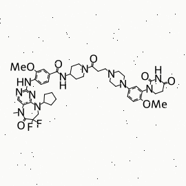 COc1cc(C(=O)NC2CCN(C(=O)CCN3CCN(c4ccc(OC)c(N5CCC(=O)NC5=O)c4)CC3)CC2)ccc1Nc1ncc2c(n1)N(C1CCCC1)CC(F)(F)C(=O)N2C